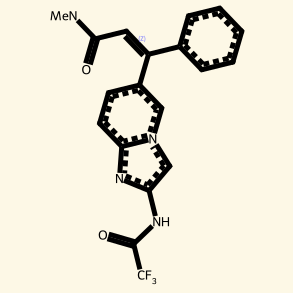 CNC(=O)/C=C(/c1ccccc1)c1ccc2nc(NC(=O)C(F)(F)F)cn2c1